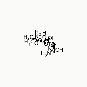 CC(C)[C@H](N)C(=O)OC[C@H]1O[C@@H](n2ccc3c(O)nc(N)nc32)[C@H](O)[C@@H]1O